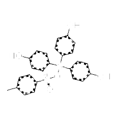 Cc1ccc(S(=O)(=O)OS(c2ccc(O)cc2)(c2ccc(O)cc2)c2ccc(O)cc2)cc1